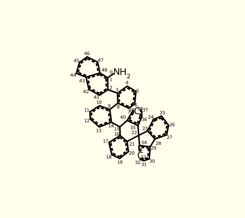 Nc1c(-c2ccccc2-c2ccccc2C2c3ccccc3C3(c4ccccc4-c4ccccc43)c3ccccc32)ccc2ccccc12